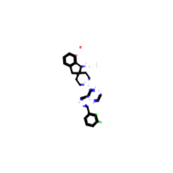 COc1cccc2c1C(N)C1(CCN(c3nccn4c(-c5cccc(Cl)c5Cl)ncc34)CC1)C2